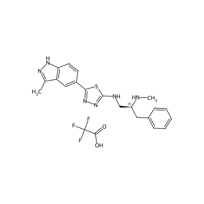 CN[C@H](CNc1nnc(-c2ccc3[nH]nc(C)c3c2)s1)Cc1ccccc1.O=C(O)C(F)(F)F